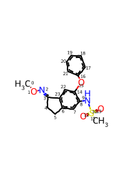 CON=C1CCc2cc(NS(C)(=O)=O)c(Oc3ccccc3)cc21